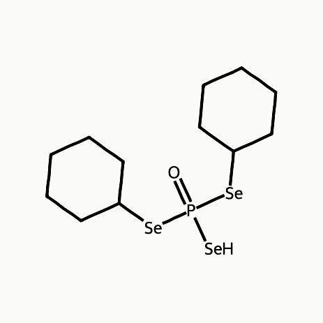 O=P([SeH])([Se]C1CCCCC1)[Se]C1CCCCC1